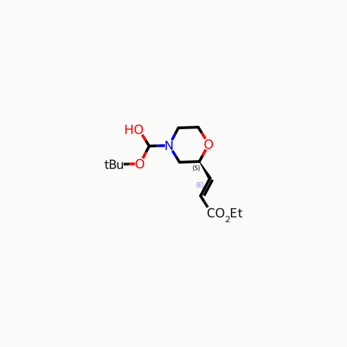 CCOC(=O)/C=C/[C@H]1CN(C(O)OC(C)(C)C)CCO1